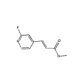 COC(=O)/C=C/c1ccnc(F)c1